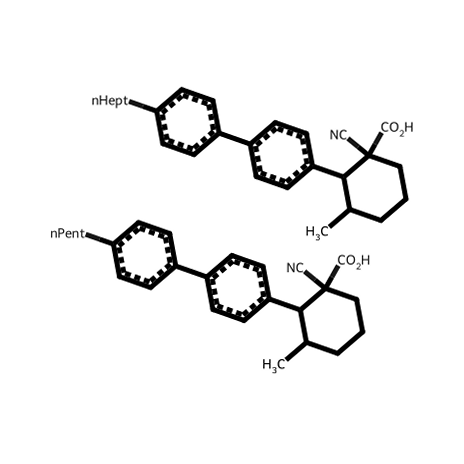 CCCCCCCc1ccc(-c2ccc(C3C(C)CCCC3(C#N)C(=O)O)cc2)cc1.CCCCCc1ccc(-c2ccc(C3C(C)CCCC3(C#N)C(=O)O)cc2)cc1